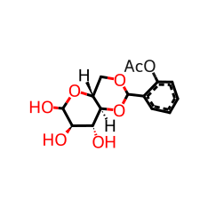 CC(=O)Oc1ccccc1C1OC[C@H]2OC(O)[C@H](O)[C@@H](O)[C@@H]2O1